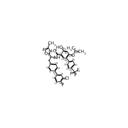 Cc1noc(C(Cc2ccc(-c3ccc(F)c(Cl)c3)cc2)NC(=O)c2cc(-c3ccc(C(F)(F)F)cc3)c(OC(C)C)cc2O)n1